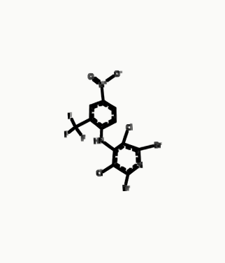 O=[N+]([O-])c1ccc(Nc2c(Cl)c(Br)nc(Br)c2Cl)c(C(F)(F)F)c1